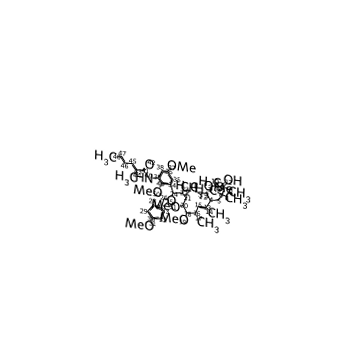 C=C[C@H](OC)[C@@H](CC(C)(C)[Si](C)(C)O)/C(C)=C/[C@H](C)[C@@H](OC)[C@H](C[C@H](C)[C@@H](OCc1ccc(OC)cc1)c1cc(OC)cc(NC(=O)/C(C)=C/C=C/C)c1OC)OC